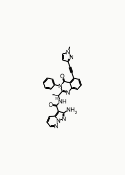 C[C@H](NC(=O)c1c(N)nn2ncccc12)c1nc2cccc(C#Cc3ccn(C)n3)c2c(=O)n1-c1ccccc1